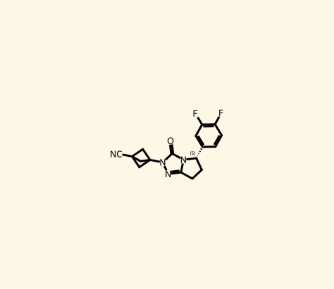 N#CC12CC(n3nc4n(c3=O)[C@H](c3ccc(F)c(F)c3)CC4)(C1)C2